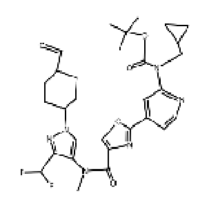 CN(C(=O)c1coc(-c2ccnc(N(CC3CC3)C(=O)OC(C)(C)C)c2)n1)c1cn(C2CCC(C=O)CC2)nc1C(F)F